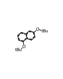 CC(C)(C)Oc1ccc2c(OC(C)(C)C)cccc2c1